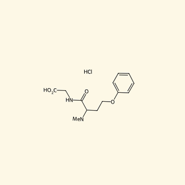 CNC(CCOc1ccccc1)C(=O)NCC(=O)O.Cl